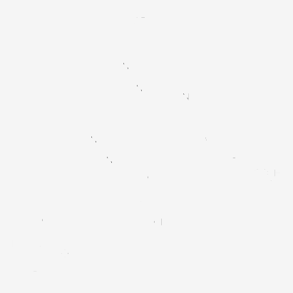 CC(Oc1cc(-n2nc(C(F)(F)F)c3c2N(CC24CC(C(=O)O)(C2)C4)CCC3)cnn1)c1ccc2c(c1)OC(F)(F)O2